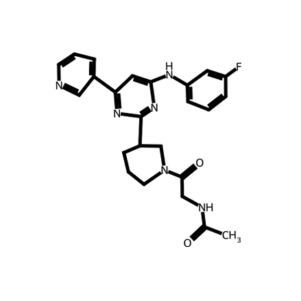 CC(=O)NCC(=O)N1CCCC(c2nc(Nc3cccc(F)c3)cc(-c3cccnc3)n2)C1